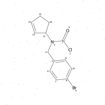 O=C(Cl)N(Cc1ccc(Br)cc1)C1C=CCC1